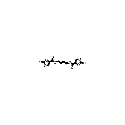 O=C1OCC(C(=O)OCC=CCOC(=O)C2COC(=O)O2)O1